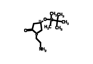 CC(C)(C)[Si](C)(C)O[C@H]1CC(=O)N(CCN)C1